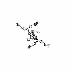 CCCCC(CC)CN1C(=O)C2=C(c3ccc(-c4cc(-c5ccc(CCCN=[N+]=[N-])cc5)cc(-c5ccc(CCCN=[N+]=[N-])cc5)c4)s3)N(CC(CC)CCCC)C(=O)C2=C1c1ccc(-c2cc(-c3ccc(CCCN=[N+]=[N-])cc3)cc(-c3ccc(CCCN=[N+]=[N-])cc3)c2)s1